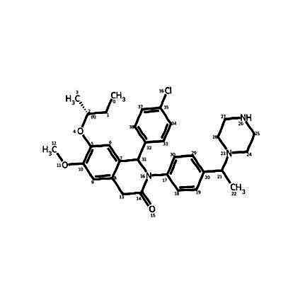 CC[C@@H](C)Oc1cc2c(cc1OC)CC(=O)N(c1ccc(C(C)N3CCNCC3)cc1)C2c1ccc(Cl)cc1